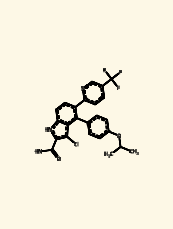 CC(C)Oc1ccc(-c2c(-c3ccc(C(F)(F)F)cn3)ccc3[nH]c(C([NH])=O)c(Cl)c23)cc1